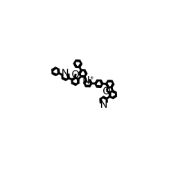 c1ccc(-c2ccc(-c3cccc4c3oc3c(-c5ccccc5)ccc(-[n+]5cccc(-c6ccc(-c7cccc8c7oc7c(-c9cccnc9)cccc78)cc6)c5)c34)cn2)cc1